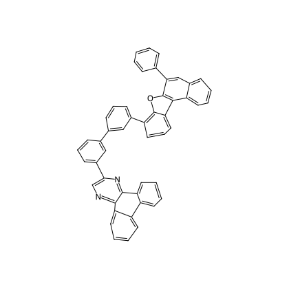 c1ccc(-c2cc3ccccc3c3c2oc2c(-c4cccc(-c5cccc(-c6cnc7c8ccccc8c8ccccc8c7n6)c5)c4)cccc23)cc1